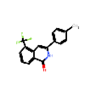 Cc1ccc(-c2cc3c(C(F)(F)F)cccc3c(=O)[nH]2)cc1